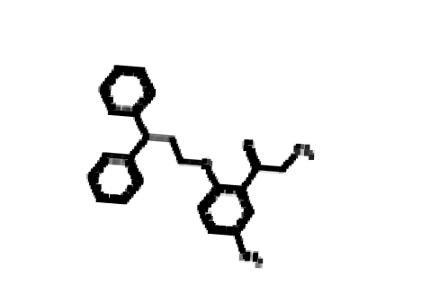 CCC(=O)c1cc(N)ccc1OCCC(c1ccccc1)c1ccccc1